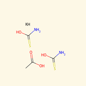 CC(=O)O.NC(O)=S.NC(O)=S.[KH]